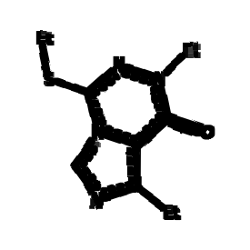 CCSc1nn(CC)c(=O)c2c(CC)ncn12